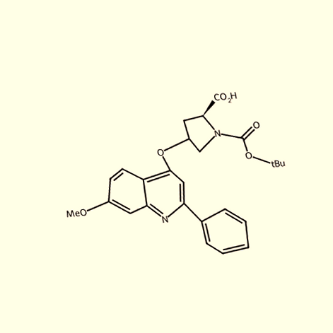 COc1ccc2c(OC3C[C@@H](C(=O)O)N(C(=O)OC(C)(C)C)C3)cc(-c3ccccc3)nc2c1